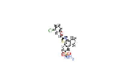 NS(=O)(=O)c1ccc(-c2sc(COc3cccc(Cl)c3)nc2-c2ccccc2F)cc1